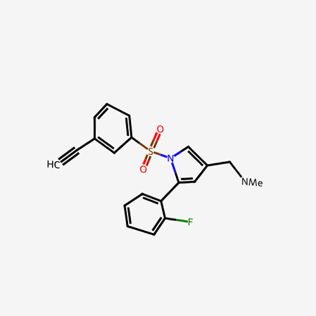 C#Cc1cccc(S(=O)(=O)n2cc(CNC)cc2-c2ccccc2F)c1